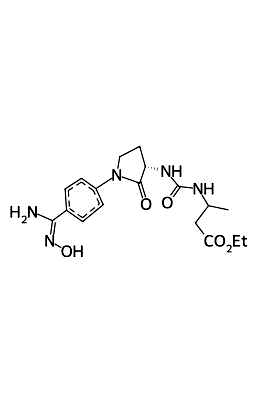 CCOC(=O)CC(C)NC(=O)N[C@H]1CCN(c2ccc(/C(N)=N\O)cc2)C1=O